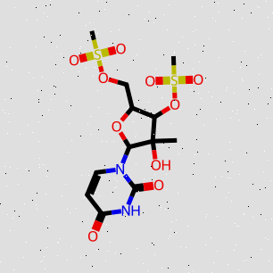 CC1(O)C(OS(C)(=O)=O)C(COS(C)(=O)=O)OC1n1ccc(=O)[nH]c1=O